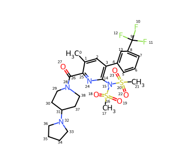 Cc1cc(-c2cccc(C(F)(F)F)c2)c(N(S(C)(=O)=O)S(C)(=O)=O)nc1C(=O)N1CCC(N2CCCC2)CC1